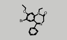 CCOc1cc2c(cc1Br)C(c1ccccc1)=NCC(=O)N2CC